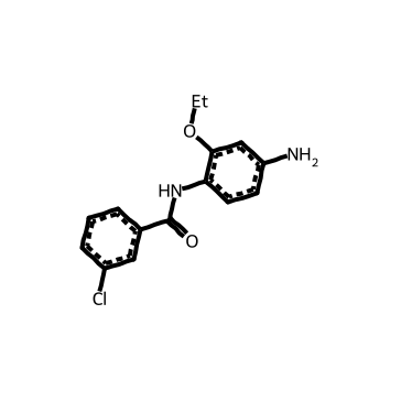 CCOc1cc(N)ccc1NC(=O)c1cccc(Cl)c1